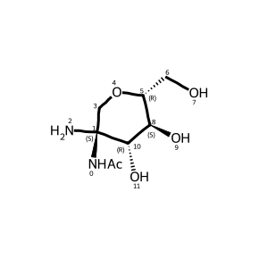 CC(=O)N[C@@]1(N)CO[C@H](CO)[C@@H](O)[C@@H]1O